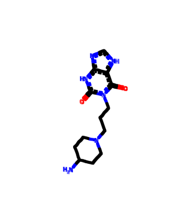 NC1CCN(CCCn2c(=O)[nH]c3nc[nH]c3c2=O)CC1